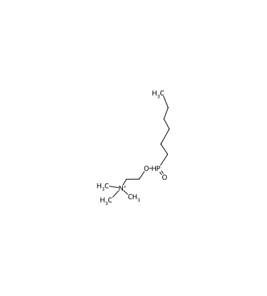 CCCCCC[PH](=O)OCC[N+](C)(C)C